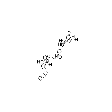 O=C(c1ccc(CCNC[C@H](O)c2ccc(O)c3[nH]c(=O)ccc23)cc1)N1CCC(COc2cccc(C(O)(C(=O)O)c3cccc(CC4CCN(Cc5ccccc5)CC4)c3)c2)CC1